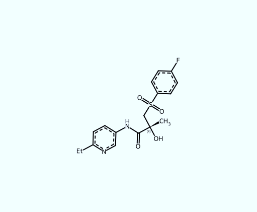 CCc1ccc(NC(=O)[C@@](C)(O)CS(=O)(=O)c2ccc(F)cc2)cn1